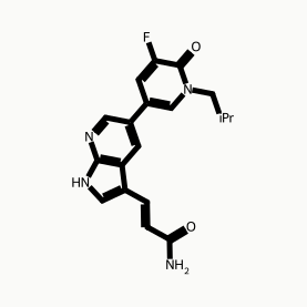 CC(C)Cn1cc(-c2cnc3[nH]cc(C=CC(N)=O)c3c2)cc(F)c1=O